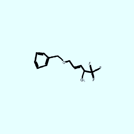 OC(C=CCOCc1ccccc1)C(F)(F)F